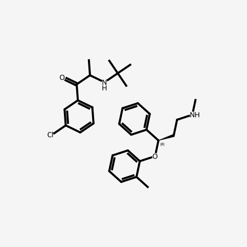 CC(NC(C)(C)C)C(=O)c1cccc(Cl)c1.CNCC[C@@H](Oc1ccccc1C)c1ccccc1